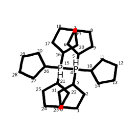 C1CCC([PH](C2CCCC2)(C2CCCC2)[PH](C2CCCC2)(C2CCCC2)C2CCCC2)C1